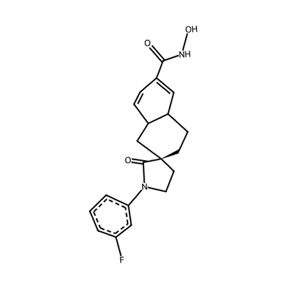 O=C(NO)C1=CC2CC[C@]3(CCN(c4cccc(F)c4)C3=O)CC2C=C1